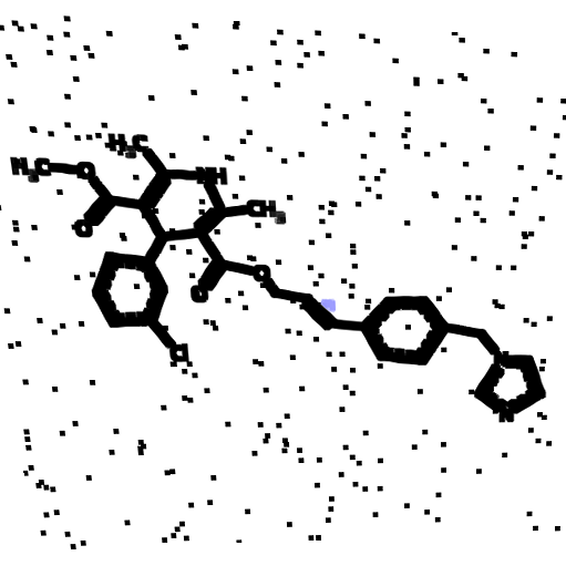 COC(=O)C1=C(C)NC(C)=C(C(=O)OC/C=C/c2ccc(Cn3ccnc3)cc2)C1c1cccc(Cl)c1